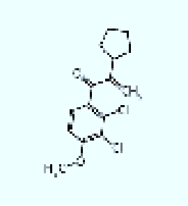 C=C(C(=O)c1ccc(OC)c(Cl)c1Cl)C1CCCC1